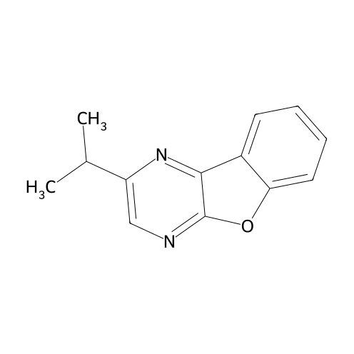 CC(C)c1cnc2oc3ccccc3c2n1